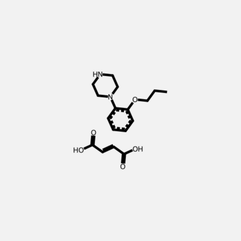 CCCOc1ccccc1N1CCNCC1.O=C(O)C=CC(=O)O